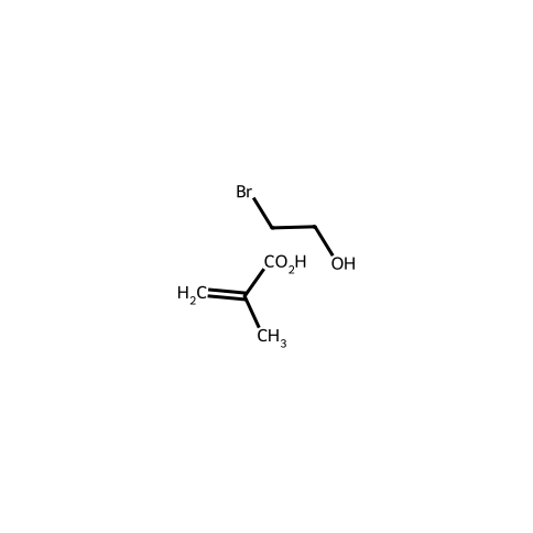 C=C(C)C(=O)O.OCCBr